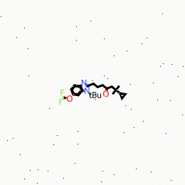 CC(C)(CC(=O)CCCc1nc2ccc(OC(F)F)cc2n1C(C)(C)C)C1CC1